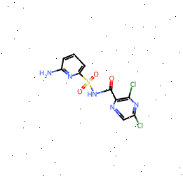 Nc1cccc(S(=O)(=O)NC(=O)c2ncc(Cl)nc2Cl)n1